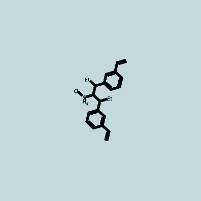 C=Cc1cccc(C(CC)C([SiH2]Cl)C(CC)c2cccc(C=C)c2)c1